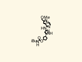 CC[C@@H](C)NC(=O)O[C@@H]1CC[C@H](c2cc(Nc3nccn4nc(COC)cc34)n[nH]2)C1